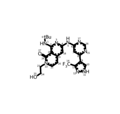 CC(C)(C)Nc1nc(Nc2cc(-c3c[nH]nc3C(F)(F)F)ncn2)cc2ccn(CCO)c(=O)c12